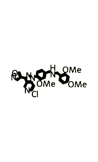 COc1ccc(CNCc2ccc(-n3nc(-c4cnoc4)c4cnc(Cl)cc43)c(OC)c2)c(OC)c1